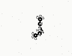 COc1cc(-c2ccc(N(C)CC(O)CN(C)c3ccc(-c4cc(OC)c(OC)c(OC)c4)nc3)cn2)cc(OC)c1OC